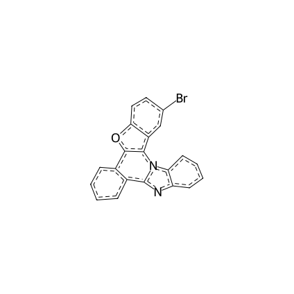 Brc1ccc2oc3c4ccccc4c4nc5ccccc5n4c3c2c1